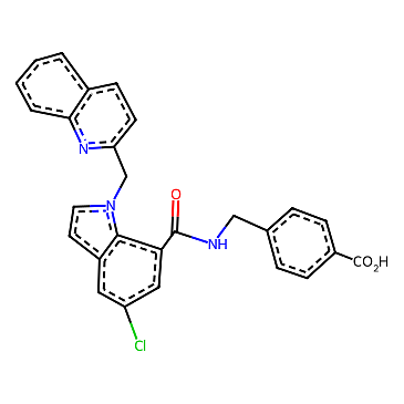 O=C(O)c1ccc(CNC(=O)c2cc(Cl)cc3ccn(Cc4ccc5ccccc5n4)c23)cc1